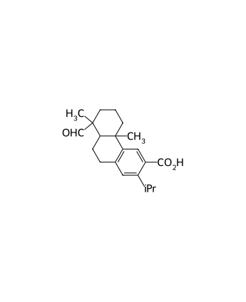 CC(C)c1cc2c(cc1C(=O)O)C1(C)CCCC(C)(C=O)C1CC2